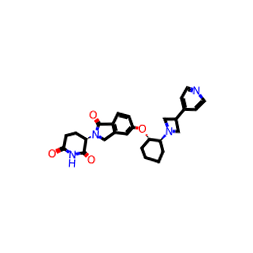 O=C1CC[C@H](N2Cc3cc(O[C@H]4CCCC[C@@H]4N4CC(c5ccncc5)C4)ccc3C2=O)C(=O)N1